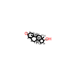 CC12CCC(=O)C=C1CC[C@H]1[C@H]2CCC2(C)[C@H](O)CC[C@H]12